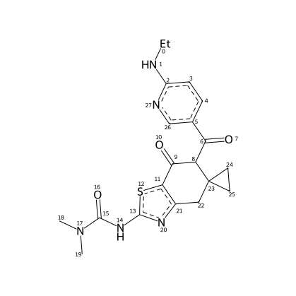 CCNc1ccc(C(=O)C2C(=O)c3sc(NC(=O)N(C)C)nc3CC23CC3)cn1